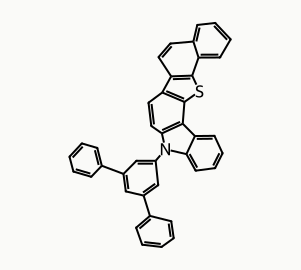 c1ccc(-c2cc(-c3ccccc3)cc(-n3c4ccccc4c4c5sc6c7ccccc7ccc6c5ccc43)c2)cc1